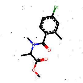 COC(=O)C(C)N(C)C(=O)c1ccc(Br)cc1C